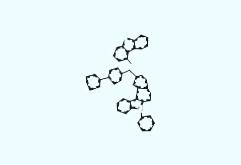 c1ccc(-c2ccc([C@H](Cc3cccc4sc5ccccc5c34)c3ccc4ccc5c(c4c3)c3ccccc3n5-c3ccccc3)cc2)cc1